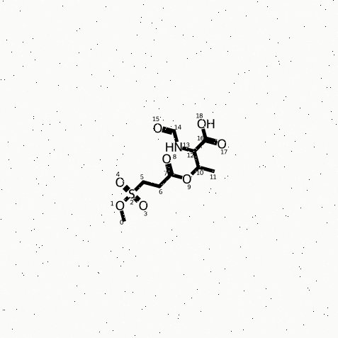 COS(=O)(=O)CCC(=O)OC(C)C(NC=O)C(=O)O